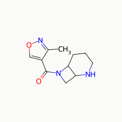 Cc1nocc1C(=O)N1CC2NCCCC21